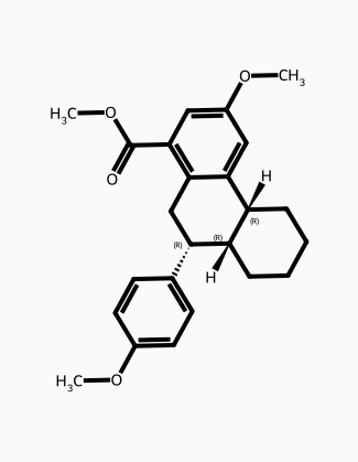 COC(=O)c1cc(OC)cc2c1C[C@@H](c1ccc(OC)cc1)[C@H]1CCCC[C@@H]21